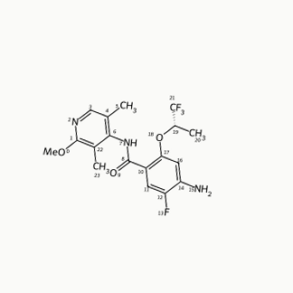 COc1ncc(C)c(NC(=O)c2cc(F)c(N)cc2O[C@@H](C)C(F)(F)F)c1C